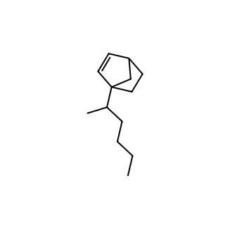 CCCCC(C)C12C=CC(CC1)C2